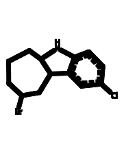 Clc1ccc2c(c1)C1CC(Br)CCCC1N2